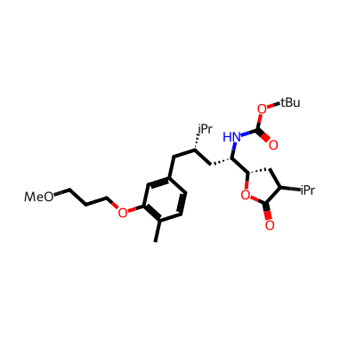 COCCCOc1cc(C[C@@H](C[C@H](NC(=O)OC(C)(C)C)[C@@H]2CC(C(C)C)C(=O)O2)C(C)C)ccc1C